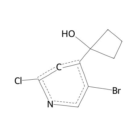 OC1(c2cc(Cl)ncc2Br)CCC1